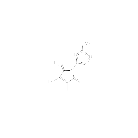 C=C1C(C)=C(C)C(=O)N1c1nc(OC)ns1